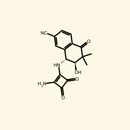 CC1(C)C(=O)c2ccc(C#N)cc2[C@@H](Nc2c(N)c(=O)c2=O)[C@@H]1O